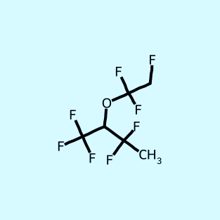 CC(F)(F)C(OC(F)(F)CF)C(F)(F)F